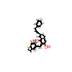 Oc1cc2ccc(C#CCc3ccccc3)cc2c(O)c1Cc1ccc2c(c1)CCS2